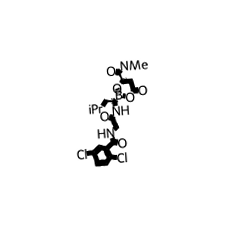 CNC(=O)[C@H]1CC(=O)OB([C@H](CC(C)C)NC(=O)CNC(=O)c2cc(Cl)ccc2Cl)O1